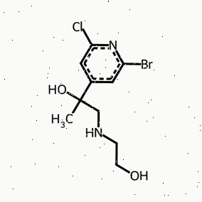 CC(O)(CNCCO)c1cc(Cl)nc(Br)c1